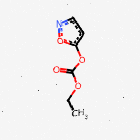 CCOC(=O)Oc1ccno1